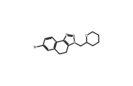 Brc1ccc2c(c1)CCc1c-2nnn1CC1CCCCO1